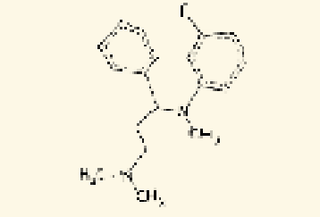 CN(C)CCC(c1ccccc1)N(C)c1cccc(F)c1